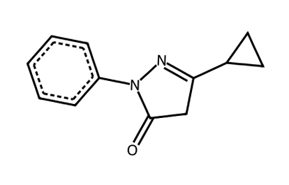 O=C1CC(C2CC2)=NN1c1ccccc1